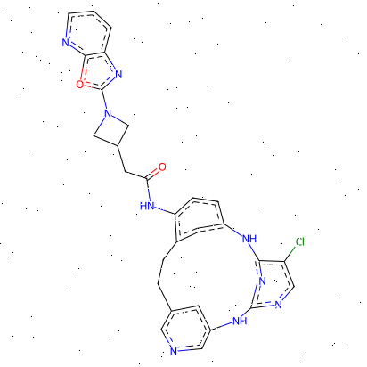 O=C(CC1CN(c2nc3cccnc3o2)C1)Nc1ccc2cc1CCc1cncc(c1)Nc1ncc(Cl)c(n1)N2